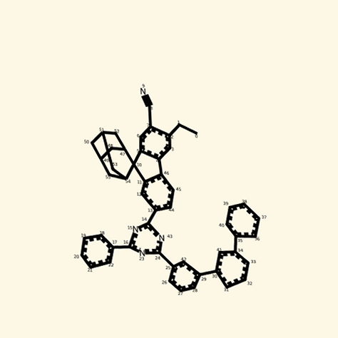 CCc1cc2c(cc1C#N)C1(c3cc(-c4nc(-c5ccccc5)nc(-c5cccc(-c6cccc(-c7ccccc7)c6)c5)n4)ccc3-2)C2CC3CC(C2)CC1C3